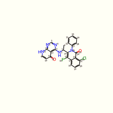 CC(Nc1ncnc2[nH]ccc(=O)c12)c1c(F)c2cccc(Cl)c2c(=O)n1-c1ccccc1